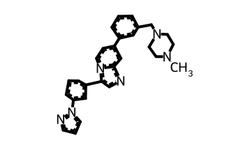 CN1CCN(Cc2cccc(-c3ccn4c(-c5cccc(-n6cccn6)c5)cnc4c3)c2)CC1